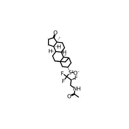 CC(=O)NC[C@H](F)C(F)(F)[S+]([O-])[C@H]1CC2CC3C[C@H]4[C@H]5CCC(=O)[C@@]5(C)CC[C@@H]4[C@]2(C)C3C1